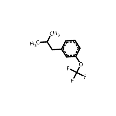 CC(C)Cc1cccc(OC(F)(F)F)c1